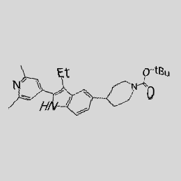 CCc1c(-c2cc(C)nc(C)c2)[nH]c2ccc(C3CCN(C(=O)OC(C)(C)C)CC3)cc12